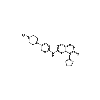 CN1CCN(c2ccc(Nc3cc4c(cn3)cnc(=O)n4-c3cccs3)cc2)CC1